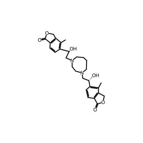 Cc1c([C@@H](O)CN2CCCCN(C[C@H](O)c3ccc4c(c3C)COC4=O)CC2)ccc2c1COC2=O